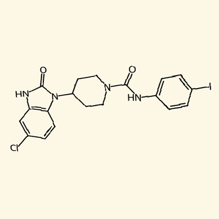 O=C(Nc1ccc(I)cc1)N1CCC(n2c(=O)[nH]c3cc(Cl)ccc32)CC1